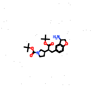 CC(C)(C)OC(=O)[C@@H](Cc1ccc2c(c1)[C@@H](N)CO2)[C@H]1CCN(C(=O)OC(C)(C)C)C1